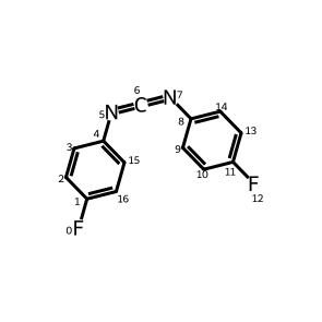 Fc1ccc(N=C=Nc2ccc(F)cc2)cc1